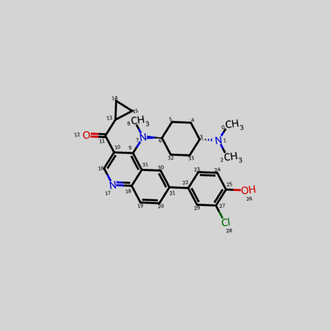 CN(C)[C@H]1CC[C@H](N(C)c2c(C(=O)C3CC3)cnc3ccc(-c4ccc(O)c(Cl)c4)cc23)CC1